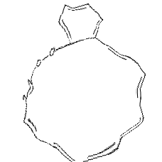 C1=CC=CC=CN=NOOc2ccccc2C=CC=CC=C1